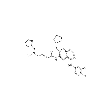 CN(C/C=C/C(=O)Nc1cc2c(Nc3ccc(F)c(Cl)c3)ncnc2cc1OC1CCCC1)C[C@H]1CCCO1